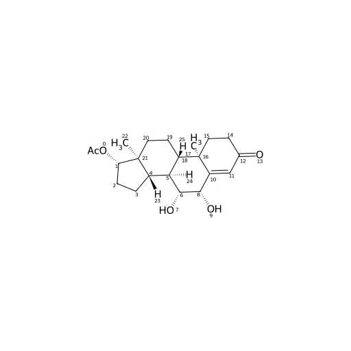 CC(=O)O[C@H]1CC[C@H]2[C@@H]3[C@@H](O)[C@@H](O)C4=CC(=O)CC[C@]4(C)[C@H]3CC[C@]12C